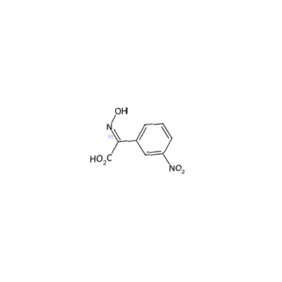 O=C(O)/C(=N/O)c1cccc([N+](=O)[O-])c1